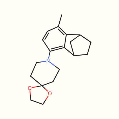 Cc1ccc(N2CCC3(CC2)OCCO3)c2c1C1CCC2C1